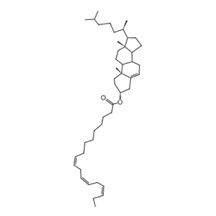 CC/C=C\C/C=C\C/C=C\CCCCCCCC(=O)O[C@H]1CC[C@@]2(C)C(=CCC3C4CCC([C@H](C)CCCC(C)C)[C@@]4(C)CCC32)C1